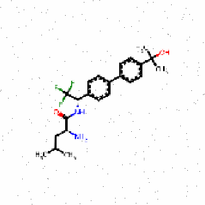 CC(C)C[C@H](N)C(=O)N[C@@H](c1ccc(-c2ccc(C(C)(C)O)cc2)cc1)C(F)(F)F